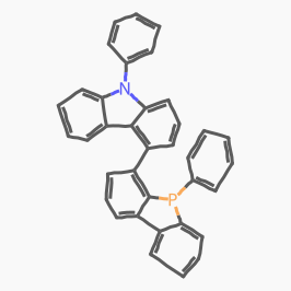 c1ccc(-n2c3ccccc3c3c(-c4cccc5c6ccccc6p(-c6ccccc6)c45)cccc32)cc1